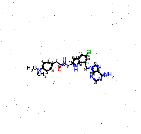 CN(C)c1ccc(CC(=O)NCc2cc3cc(Cl)cc(Cn4cnc5c(N)ncnc54)c3[nH]2)cc1